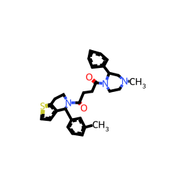 Cc1cccc(C2c3ccsc3CCN2C(=O)CCC(=O)N2CCN(C)CC2c2ccccc2)c1